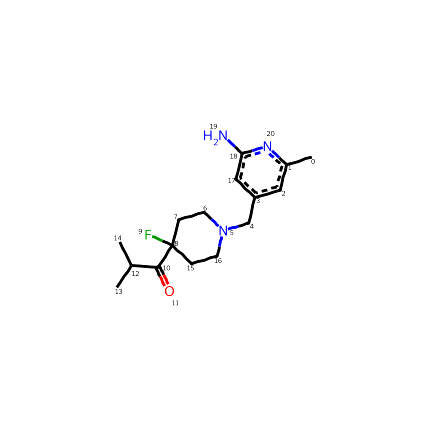 Cc1cc(CN2CCC(F)(C(=O)C(C)C)CC2)cc(N)n1